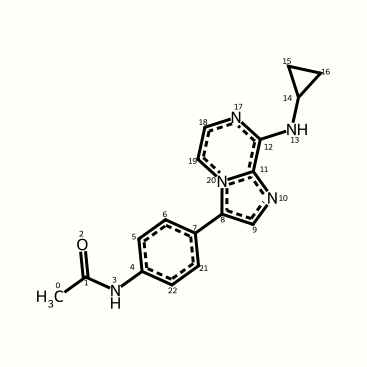 CC(=O)Nc1ccc(-c2cnc3c(NC4CC4)nccn23)cc1